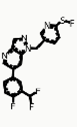 FSc1ccc(Cn2ncc3ncc(-c4ccc(F)c(C(F)F)c4)cc32)cn1